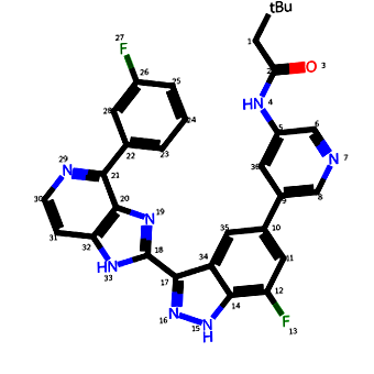 CC(C)(C)CC(=O)Nc1cncc(-c2cc(F)c3[nH]nc(-c4nc5c(-c6cccc(F)c6)nccc5[nH]4)c3c2)c1